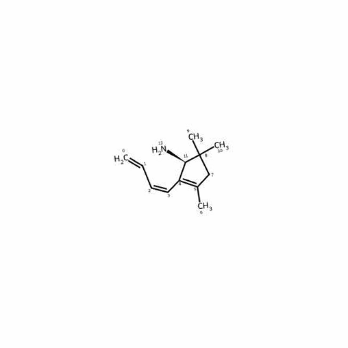 C=C/C=C\C1=C(C)CC(C)(C)[C@@H]1N